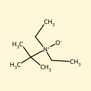 CC[N+]([O-])(CC)C(C)(C)C